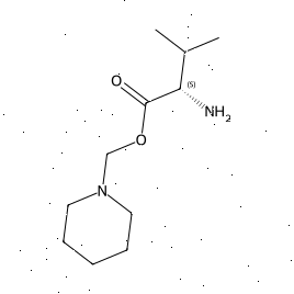 CC(C)[C@H](N)C(=O)OCN1CCCCC1